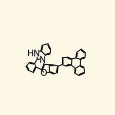 c1ccc2c(c1)NC1c3ccccc3-c3oc4ccc(-c5ccc6c7ccccc7c7ccccc7c6c5)cc4c3N21